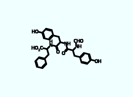 O=CNC(Cc1ccc(O)cc1)C(=O)NC(Cc1ccc(O)cc1)C(=O)NC(Cc1ccccc1)C(=O)O